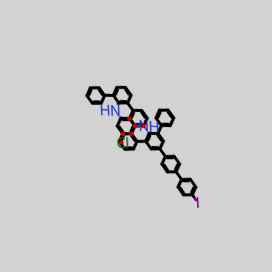 Clc1cc(Nc2c(-c3ccccc3)cccc2-c2ccccc2)cc(Nc2c(-c3ccccc3)cc(-c3ccc(-c4ccc(I)cc4)cc3)cc2-c2ccccc2)c1